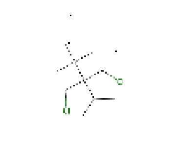 CC(C)C(CCl)(CCl)C(C)(C)C